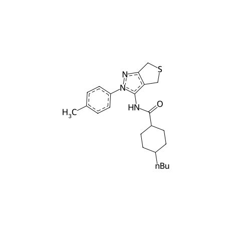 CCCCC1CCC(C(=O)Nc2c3c(nn2-c2ccc(C)cc2)CSC3)CC1